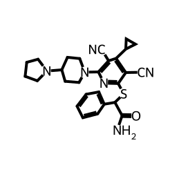 N#Cc1c(SC(C(N)=O)c2ccccc2)nc(N2CCC(N3CCCC3)CC2)c(C#N)c1C1CC1